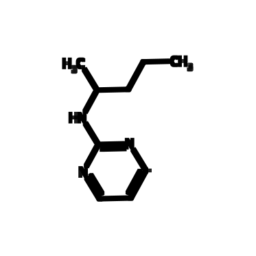 CCCC(C)Nc1n[c]ccn1